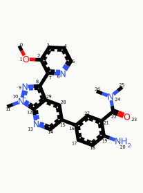 COc1cccnc1-c1nn(C)c2ncc(-c3ccc(N)c(C(=O)N(C)C)c3)cc12